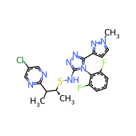 CC(c1ncc(Cl)cn1)[C@H](C)SNc1nnc(-c2ccn(C)n2)n1-c1c(F)cccc1F